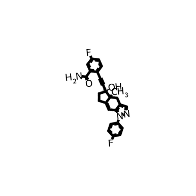 CC12Cc3cnn(-c4ccc(F)cc4)c3C=C1CC[C@@]2(O)C#Cc1ccc(F)cc1C(N)=O